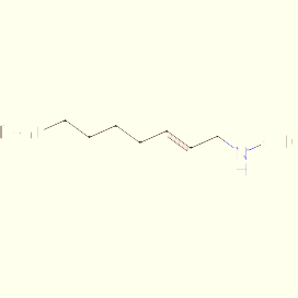 CCCCCCCCCC=CCN[C]=O